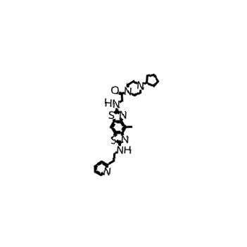 Cc1c2nc(NCCc3ccccn3)sc2cc2sc(NCC(=O)N3CCN(C4CCCC4)CC3)nc12